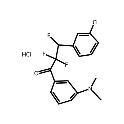 CN(C)c1cccc(C(=O)C(F)(F)C(F)c2cccc(Cl)c2)c1.Cl